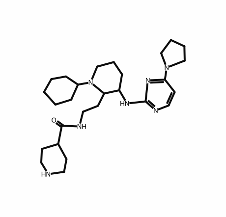 O=C(NCCC1C(Nc2nccc(N3CCCC3)n2)CCCN1C1CCCCC1)C1CCNCC1